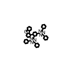 c1ccc(-c2nc(-c3ccccc3)nc(-c3ccc(-c4cccc5oc6ccccc6c45)c(-c4nc(-c5ccccc5)nc(-c5ccccc5)n4)c3)n2)cc1